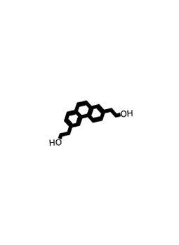 OCCc1ccc2c(ccc3ccc(CCO)cc32)c1